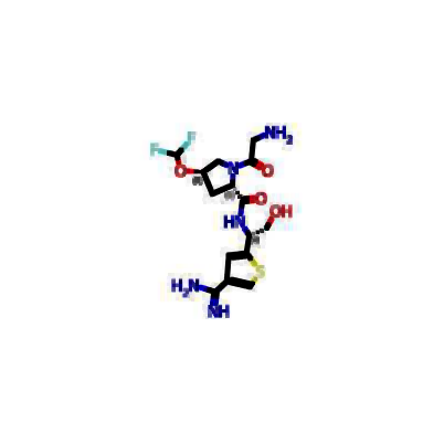 N=C(N)c1csc([C@@H](CO)NC(=O)[C@@H]2C[C@@H](OC(F)F)CN2C(=O)CN)c1